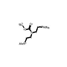 CNCCN(CCNC)C(=O)OC(C)(C)C